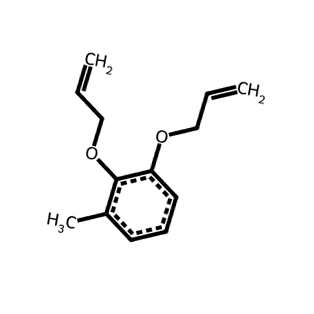 C=CCOc1cccc(C)c1OCC=C